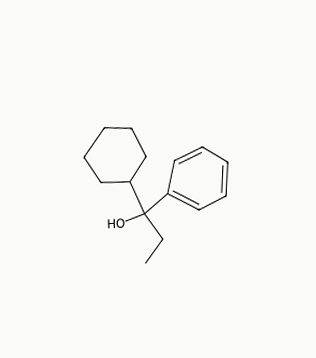 CCC(O)(c1ccccc1)C1CCCCC1